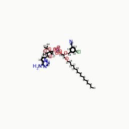 CCCCCCCCCCCCCCCCOC[C@@H](COP(=O)(O)OC1[C@@]2(C)O[C@@H](c3ccc4c(N)ncnn34)[C@@H]3OC(C)(C)O[C@@]132)OCc1cc(Cl)cc(C#N)c1